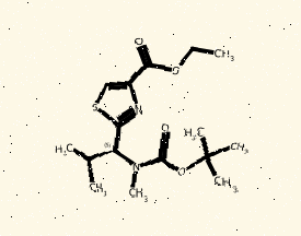 CCOC(=O)c1csc([C@H](C(C)C)N(C)C(=O)OC(C)(C)C)n1